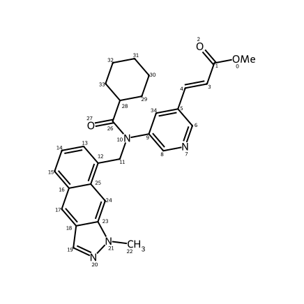 COC(=O)/C=C/c1cncc(N(Cc2cccc3cc4cnn(C)c4cc23)C(=O)C2CCCCC2)c1